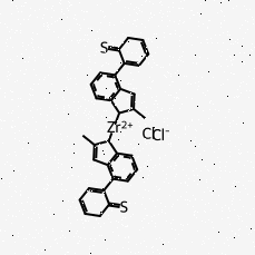 CC1=Cc2c(C3=CC=CCC3=S)cccc2[CH]1[Zr+2][CH]1C(C)=Cc2c(C3=CC=CCC3=S)cccc21.[Cl-].[Cl-]